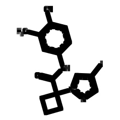 N#Cc1ccc(NC(=O)C2(n3cc(I)cn3)CCC2)cc1C(F)(F)F